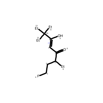 CCC(CCF)C(=O)/C=C(\O)C(CC)(CC)CC